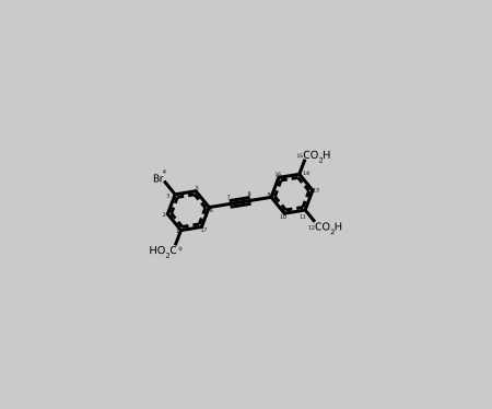 O=C(O)c1cc(Br)cc(C#Cc2cc(C(=O)O)cc(C(=O)O)c2)c1